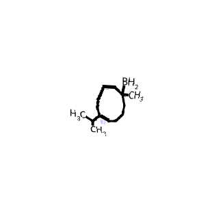 BC1(C)CCC/C=C(/C(C)C)CCCC1